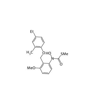 CCc1ccc(OCc2c(OC)cccc2N(O)C(=O)SC)c(C)c1